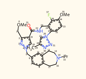 COCc1nn(Cc2ccc3c(c2)CCN(C(C)C)CC3)cc1C(=O)NCc1c(-n2cc(C)nn2)ccc(OC)c1F